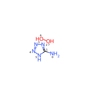 Nc1nnn[nH]1.OO